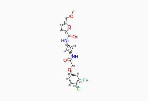 COCc1ccc(C(=O)NC23CC(NC(=O)COc4ccc(Cl)c(F)c4)(C2)C3)o1